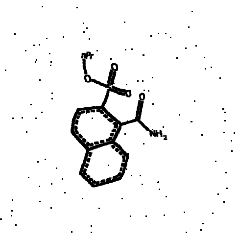 CCCOS(=O)(=O)c1ccc2ccccc2c1C(N)=O